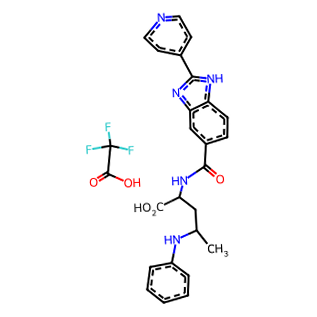 CC(CC(NC(=O)c1ccc2[nH]c(-c3ccncc3)nc2c1)C(=O)O)Nc1ccccc1.O=C(O)C(F)(F)F